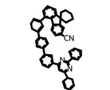 N#Cc1ccc2c(c1)C1(CCCCC1)c1cccc(C3=CCCC(c4ccc(-c5cccc(-c6cc(C7C=CC=CC7)nc(-c7ccccc7)n6)c5)cc4)=C3)c1-2